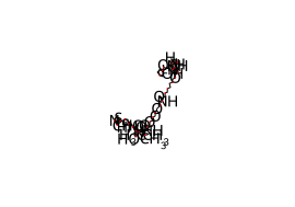 Cc1ncsc1-c1ccc(CNC(=O)[C@@H]2C[C@@H](O)CN2C(=O)[C@@H](NC(=O)COCCOCCOCCNC(=O)CCCCCCCCOc2ccc(N3C[C@@H]4C[C@@H]3C4N/C=C/C(=O)c3ccccc3O)nc2)C(C)(C)C)cc1